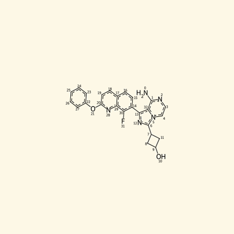 Nc1nccn2c(C3CC(O)C3)nc(-c3ccc4ccc(Oc5ccccc5)nc4c3F)c12